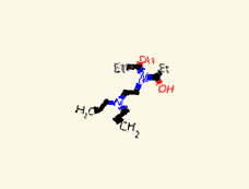 C=CCN(CC=C)CCN(C(O)CC)C(O)CC